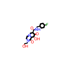 O=C(NCc1ccc(F)cc1)c1cn2ccn(CCO)c(=O)c2c(O)c1=O